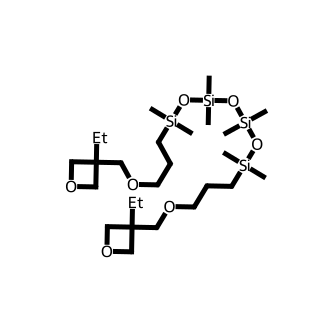 CCC1(COCCC[Si](C)(C)O[Si](C)(C)O[Si](C)(C)O[Si](C)(C)CCCOCC2(CC)COC2)COC1